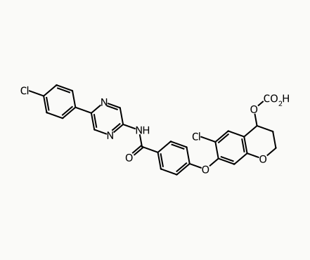 O=C(O)OC1CCOc2cc(Oc3ccc(C(=O)Nc4cnc(-c5ccc(Cl)cc5)cn4)cc3)c(Cl)cc21